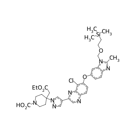 CCOC(=O)CC1(n2cc(-c3cnc4ccc(Oc5ccc6nc(C)n(COCC[Si](C)(C)C)c6c5)c(Cl)c4n3)cn2)CCN(C(=O)O)CC1